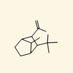 CC1C2CCC1C1C2C(=O)OC1(C)C